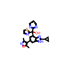 Cc1noc(C)c1-c1cc(C(O)(c2ncccn2)c2nccs2)c2nc(C3CC3)[nH]c2c1